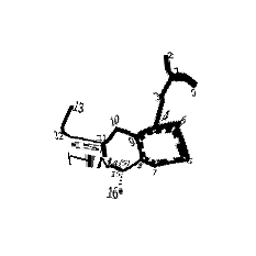 C=C(C)Cc1cccc2c1C[C@H](CC)N[C@H]2C